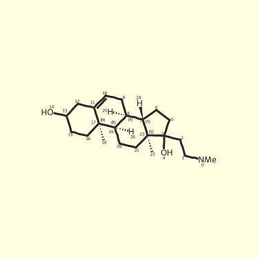 CNCCC1(O)CC[C@H]2[C@@H]3CC=C4CC(O)CC[C@]4(C)[C@@H]3CC[C@@]21C